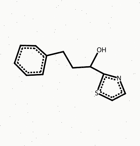 OC(CCc1ccccc1)c1nccs1